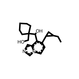 CCC1CC1c1ccn2cncc2c1C(O)C1(CO)CCCCC1